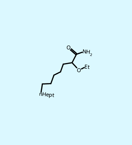 CCCCCCCCCCCCC(OCC)C(N)=O